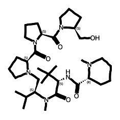 CC(C)[C@@H](CN1CCC[C@H]1C(=O)N1CCC[C@H]1C(=O)N1CCC[C@H]1CO)N(C)C(=O)[C@@H](NC(=O)[C@H]1CCCCN1C)C(C)(C)C